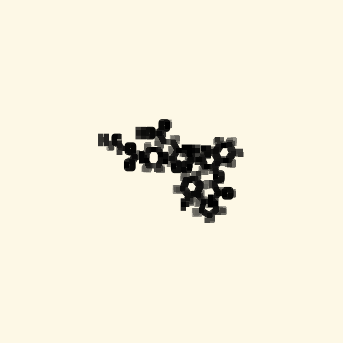 CCOC(=O)N1CCN(C(=O)C(CCC(=O)O)NC(=O)c2cc(OCC(=O)N3CCC[C@H]3c3ccccc3F)c3ccccc3n2)CC1